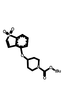 CC(C)(C)OC(=O)N1CCC(Oc2cccc3c2C=CS3(=O)=O)CC1